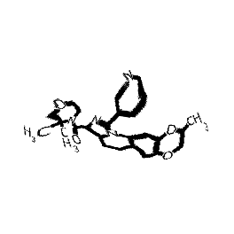 CC1COc2cc3c(cc2O1)-n1c(-c2cccnc2)nc(C(=O)N2CCOCC2(C)C)c1CC3